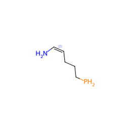 N/C=C\CCCP